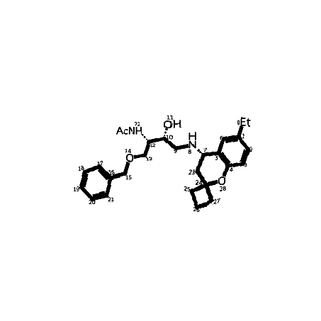 CCc1ccc2c(c1)[C@@H](NC[C@@H](O)[C@H](COCc1ccccc1)NC(C)=O)CC1(CCC1)O2